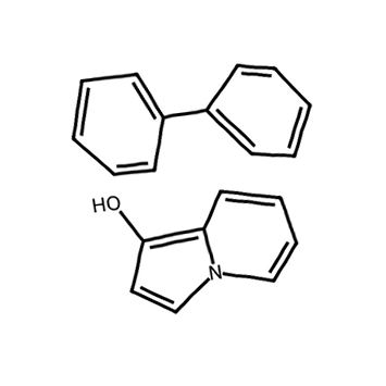 Oc1ccn2ccccc12.c1ccc(-c2ccccc2)cc1